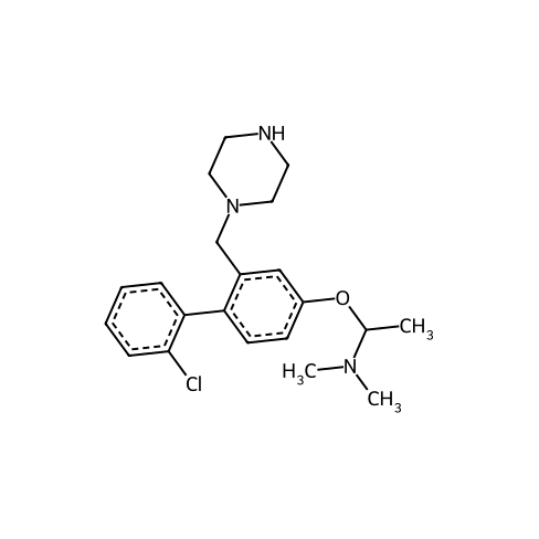 CC(Oc1ccc(-c2ccccc2Cl)c(CN2CCNCC2)c1)N(C)C